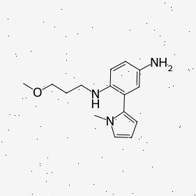 COCCCNc1ccc(N)cc1-c1cccn1C